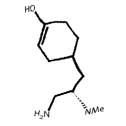 CN[C@H](CN)CC1CC=C(O)CC1